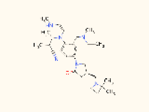 C=CN(C)Cc1cc(N2C[C@@H](CN3CCC3(C)C)CC2=O)ccc1N(/C=C\NC)[C@@H](C)C(C)C#N